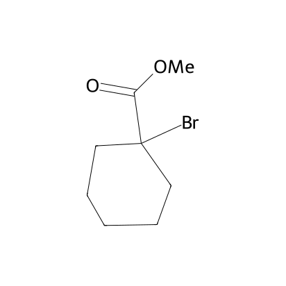 COC(=O)C1(Br)CCCCC1